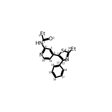 CCC(=O)Nc1cc(-c2sc(CC)nc2-c2ccccc2)ccn1